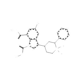 COC(=O)c1cc(Br)cc2c(C3CCS(O)(O)C(c4ccccc4)C3)cn(C(=O)OC(C)(C)C)c12